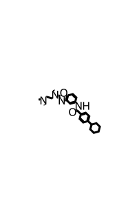 CN(C)CCN(C)c1nc2cc(NC(=O)c3ccc(C4CCCCC4)cc3)ccc2o1